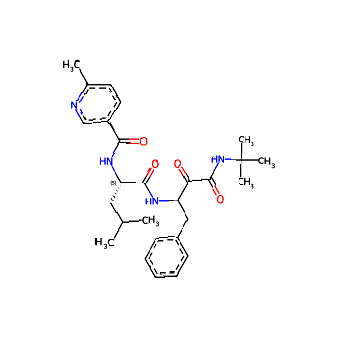 Cc1ccc(C(=O)N[C@@H](CC(C)C)C(=O)NC(Cc2ccccc2)C(=O)C(=O)NC(C)(C)C)cn1